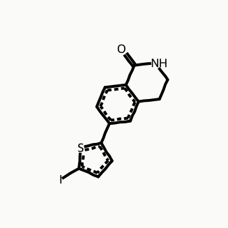 O=C1NCCc2cc(-c3ccc(I)s3)ccc21